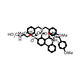 COc1ccc(CN(Cc2ccc(OC)cc2)S(=O)(=O)c2c(S(=O)(=O)NCCNC(=O)O)ccc(-c3ccccc3N)c2-c2nnn(Cc3ccc(OC)cc3)n2)cc1